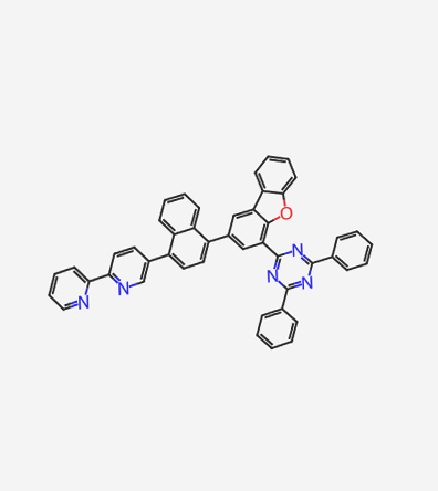 c1ccc(-c2nc(-c3ccccc3)nc(-c3cc(-c4ccc(-c5ccc(-c6ccccn6)nc5)c5ccccc45)cc4c3oc3ccccc34)n2)cc1